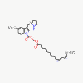 CCCCC/C=C\C/C=C\CCCCCCCC(=O)OCOC(=O)n1cc(C[C@H]2CCCN2)c2cc(OC)ccc21